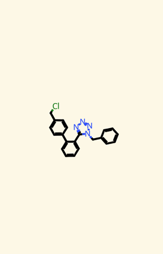 ClCc1ccc(-c2ccccc2-c2nnnn2Cc2ccccc2)cc1